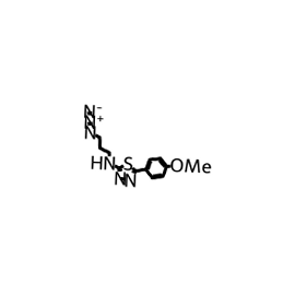 COc1ccc(-c2nnc(NCCCN=[N+]=[N-])s2)cc1